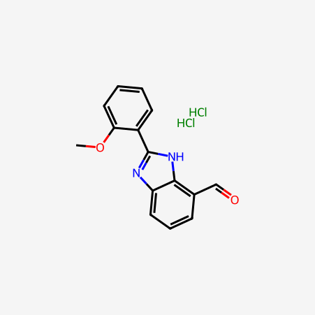 COc1ccccc1-c1nc2cccc(C=O)c2[nH]1.Cl.Cl